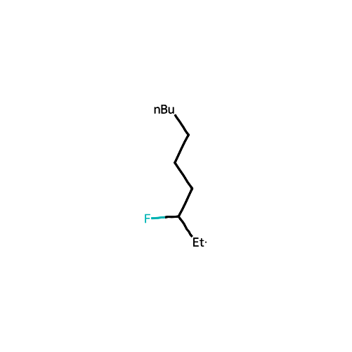 C[CH]C(F)CCCCCCC